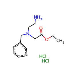 CCOC(=O)CN(CCN)Cc1ccccc1.Cl.Cl